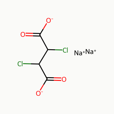 O=C([O-])C(Cl)C(Cl)C(=O)[O-].[Na+].[Na+]